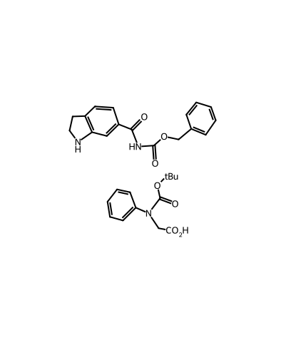 CC(C)(C)OC(=O)N(CC(=O)O)c1ccccc1.O=C(NC(=O)c1ccc2c(c1)NCC2)OCc1ccccc1